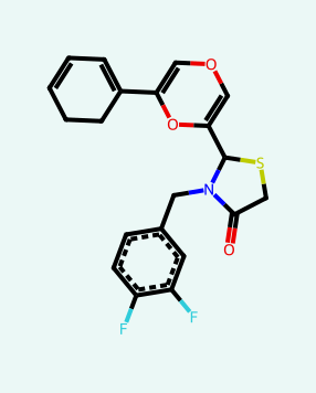 O=C1CSC(C2=COC=C(C3=CC=CCC3)O2)N1Cc1ccc(F)c(F)c1